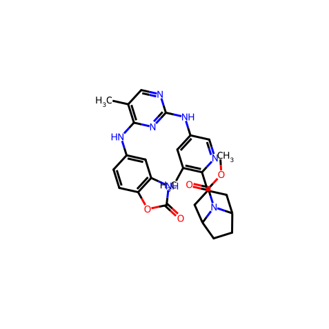 COC(=O)N1C2CCC1CC(c1ncc(Nc3ncc(C)c(Nc4ccc5oc(=O)[nH]c5c4)n3)cc1C)C2